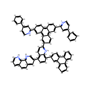 c1ccc(-c2ccnc(-c3ccc4c5ccc(-c6cc(-c7ccccc7)ccn6)cc5c5cc(-c6ccc7c(-c8cnc9c(ccc%10cccnc%109)c8)ccc(-c8ccc9c%10ccccc%10c%10ccccc%10c9c8)c7n6)ccc5c4c3)c2)cc1